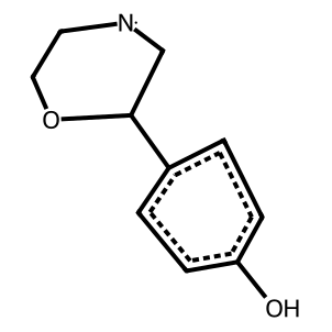 Oc1ccc(C2C[N]CCO2)cc1